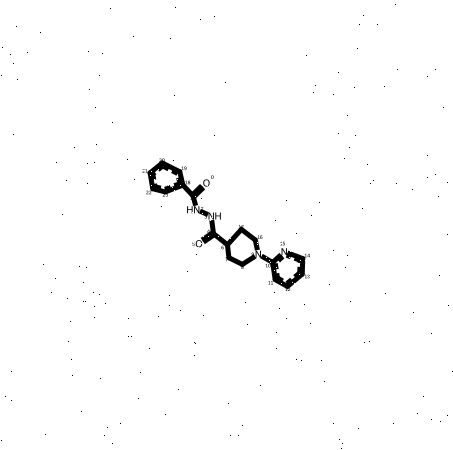 O=C(NNC(=O)C1CCN(c2ccccn2)CC1)c1ccccc1